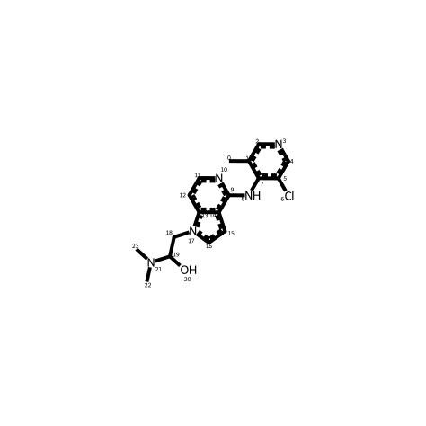 Cc1cncc(Cl)c1Nc1nccc2c1ccn2CC(O)N(C)C